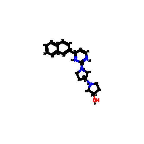 O[C@H]1CCN([C@H]2CCN(c3nccc(-c4ccc5ccccc5c4)n3)C2)C1